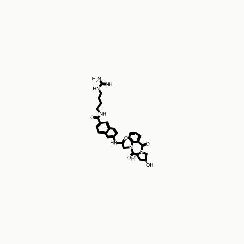 N=C(N)NCCCCNC(=O)c1ccc2cc(NC(=O)CN3C(=O)[C@@H]4C[C@@H](O)CN4C(=O)c4ccccc43)ccc2c1